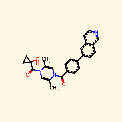 CC1=CN(C(=O)C2(O)CC2)C(C)=CN1C(=O)c1ccc(-c2ccc3cnccc3c2)cc1